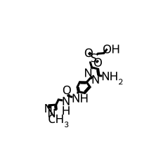 Cn1cc(CNC(=O)Nc2ccc(-c3nc(N)cc(CS(=O)(=O)CCO)n3)cc2)cn1